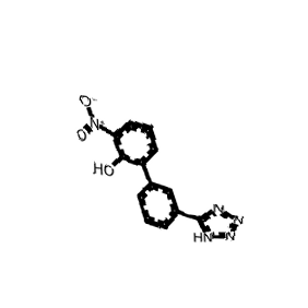 O=[N+]([O-])c1cccc(-c2cccc(-c3nnn[nH]3)c2)c1O